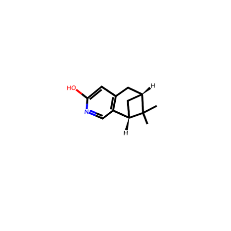 CC1(C)[C@H]2Cc3cc(O)ncc3[C@@H]1C2